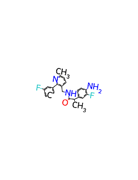 Cc1ccc(CNC(=O)C(C)c2ccc(N)c(F)c2)c(-c2cccc(F)c2)n1